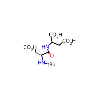 CC(C)(C)N[C@H](CC(=O)O)C(=O)NC(CC(=O)O)C(=O)O